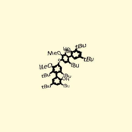 COc1c(Sc2cc(C(C)(C)C)c(-c3cc(C(C)(C)C)cc(C(C)(C)C)c3O)c(C(C)(C)C)c2OC)cc(C(C)(C)C)c(-c2cc(C(C)(C)C)cc(C(C)(C)C)c2O)c1C(C)(C)C